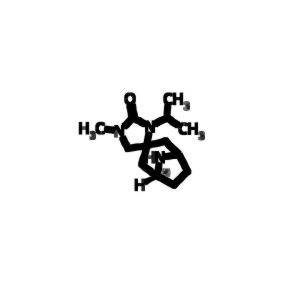 CC(C)N1C(=O)N(C)CC12CC1CC[C@H](C2)N1